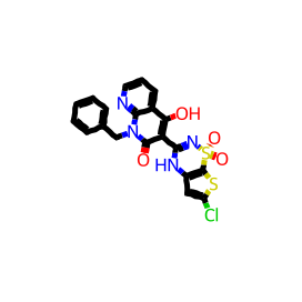 O=c1c(C2=NS(=O)(=O)c3sc(Cl)cc3N2)c(O)c2cccnc2n1Cc1ccccc1